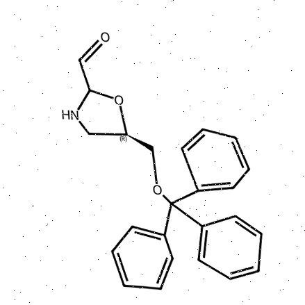 O=CC1NC[C@H](COC(c2ccccc2)(c2ccccc2)c2ccccc2)O1